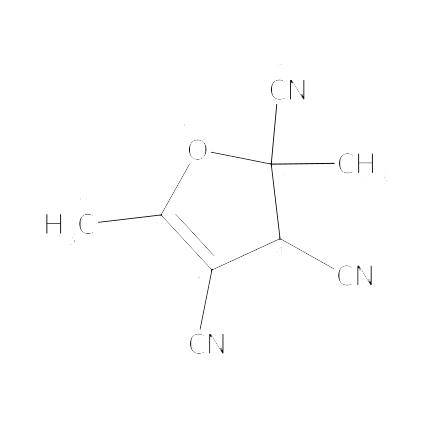 CC1=C(C#N)C(C#N)C(C)(C#N)O1